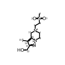 CS(=O)(=O)CCN1CCn2nc(CO)c(I)c2C1